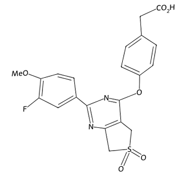 COc1ccc(-c2nc3c(c(Oc4ccc(CC(=O)O)cc4)n2)CS(=O)(=O)C3)cc1F